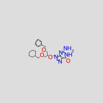 Nc1nc2c(ncn2COC(COCc2ccccc2)COCC2CCCCC2)c(=O)[nH]1